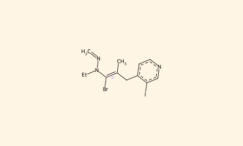 C=NN(CC)/C(Br)=C(\C)Cc1ccncc1I